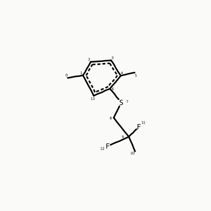 Cc1ccc(C)c(SCC(C)(F)F)c1